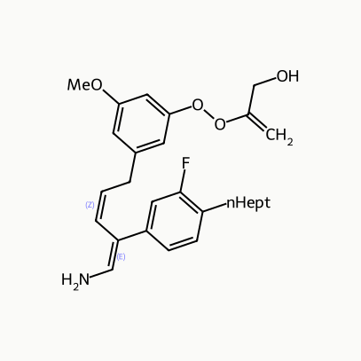 C=C(CO)OOc1cc(C/C=C\C(=C/N)c2ccc(CCCCCCC)c(F)c2)cc(OC)c1